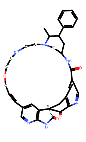 CC1C(c2ccccc2)CC2CN1CCNCCOC/C=C\c1cnc3c(c1)[C@]1(Cc4cc(cnc4C1=O)C(=O)N2)C(=O)N3